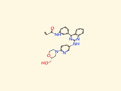 C=CC(=O)Nc1cccc(-c2nc(Nc3ccc(N4CCO[C@@H](CO)C4)nc3)nc3ccccc23)c1